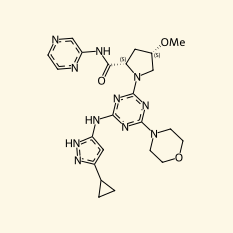 CO[C@H]1C[C@@H](C(=O)Nc2cnccn2)N(c2nc(Nc3cc(C4CC4)n[nH]3)nc(N3CCOCC3)n2)C1